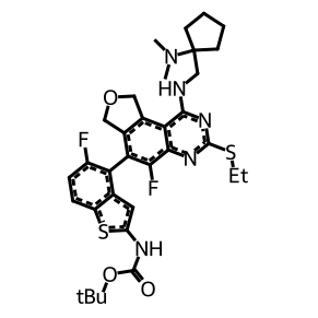 CCSc1nc(NCC2(N(C)C)CCCC2)c2c3c(c(-c4c(F)ccc5sc(NC(=O)OC(C)(C)C)cc45)c(F)c2n1)COC3